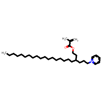 C=C(C)C(=O)OCCC(CCCCCCCCCCCCCCCCCC)CCC[n+]1ccccc1